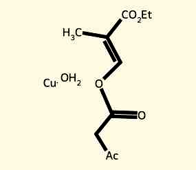 CCOC(=O)C(C)=COC(=O)CC(C)=O.O.[Cu]